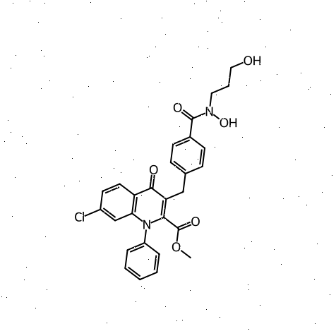 COC(=O)c1c(Cc2ccc(C(=O)N(O)CCCO)cc2)c(=O)c2ccc(Cl)cc2n1-c1ccccc1